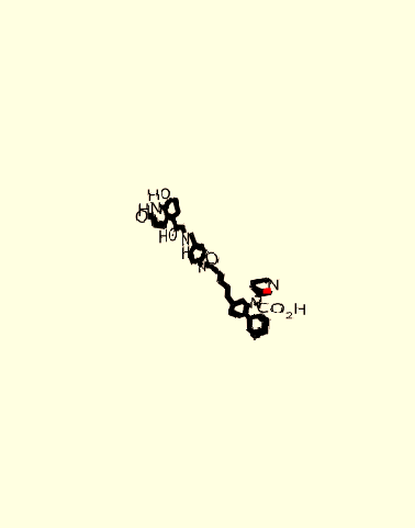 O=C(O)N(c1cc(CCCCc2nc3ccc(CNC[C@H](O)c4ccc(O)c5[nH]c(=O)ccc45)cc3o2)ccc1-c1ccccc1)C1CN2CCC1CC2